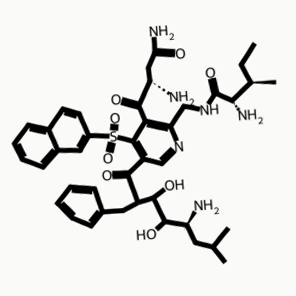 CC[C@@H](C)[C@H](N)C(=O)NCc1ncc(C(=O)C(Cc2ccccc2)C(O)C(O)[C@@H](N)CC(C)C)c(S(=O)(=O)c2ccc3ccccc3c2)c1C(=O)[C@@H](N)CC(N)=O